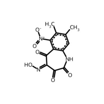 Cc1cc2c(c([N+](=O)[O-])c1C)C(=O)C(=NO)C(=O)C(=O)N2